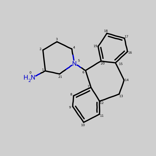 NC1CCCN(C2c3ccccc3CCc3ccccc32)C1